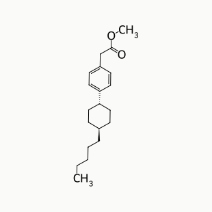 CCCCC[C@H]1CC[C@H](c2ccc(CC(=O)OC)cc2)CC1